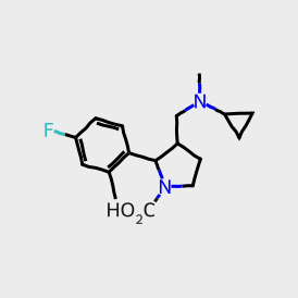 Cc1cc(F)ccc1C1C(CN(C)C2CC2)CCN1C(=O)O